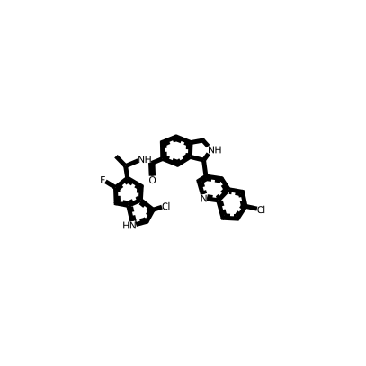 CC(NC(=O)c1ccc2c(c1)C(c1cnc3ccc(Cl)cc3c1)NC2)c1cc2c(Cl)c[nH]c2cc1F